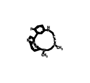 CN1CCCNc2ccc(F)c(c2)-c2cnc3ccc(nn23)N(C)CC1